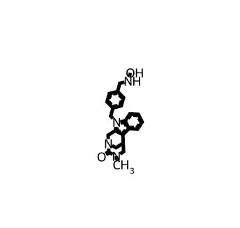 CN1CC2CN(Cc3c2c2ccccc2n3Cc2ccc(CNO)cc2)C1=O